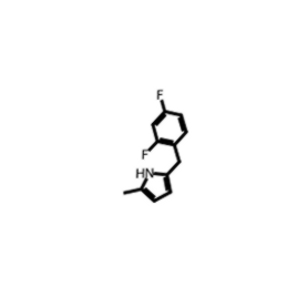 Cc1ccc(Cc2ccc(F)cc2F)[nH]1